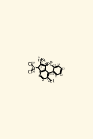 CCCCC1=Cc2c(ccc(CC)c2-c2ccccc2C(C)C)[CH]1[Zr]([Cl])[Cl]